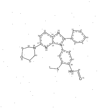 CSc1cc(-n2c(-c3ccccc3)nc3ccc(N4CCOCC4)nc32)ccc1NC=O